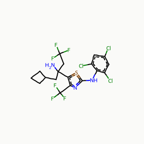 NC(CC1CCC1)(CC(F)(F)F)c1sc(Nc2c(Cl)cc(Cl)cc2Cl)nc1C(F)(F)F